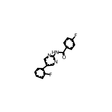 O=C(Nc1ncc(-c2ccccc2F)cn1)c1ccc(F)cc1